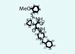 COc1ccccc1SC[C@H]1SCCN1[C@@H](C(N)=O)C(=O)NN1CCN(CC2CCCCC2)CC1